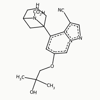 CC(C)(O)COc1cc(C23CNCC(C2)N3C(=O)O)c2c(C#N)cnn2c1